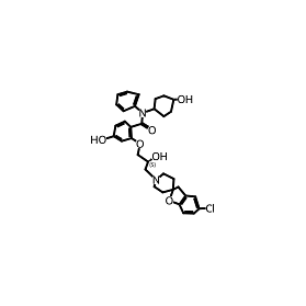 O=C(c1ccc(O)cc1OC[C@@H](O)CN1CCC2(CC1)Cc1cc(Cl)ccc1O2)N(c1ccccc1)C1CCC(O)CC1